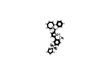 COc1ccc(S(=O)(=O)N2CCCC2)cc1-c1ccc(CN2CCCCC[C@@H]2c2ccccc2)[nH]1